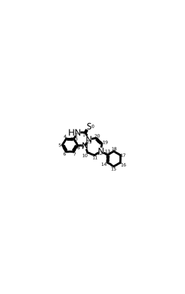 S=C1Nc2ccccc2N2CCN(C3=CCCCC3)C=CN12